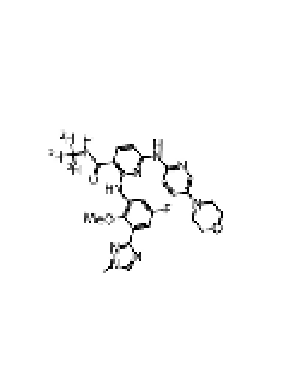 [2H]C([2H])([2H])NC(=O)c1ccc(Nc2ccc(N3CCOCC3)cn2)nc1Nc1cc(F)cc(-c2ncn(C)n2)c1OC